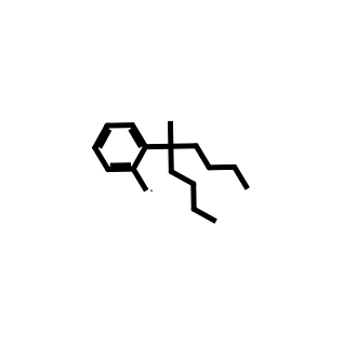 [CH2]c1ccccc1C(C)(CCCC)CCCC